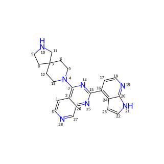 c1cc2c(N3CCC4(CCNC4)CC3)nc(-c3ccnc4[nH]ccc34)nc2cn1